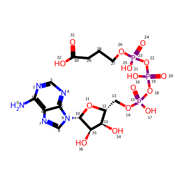 Nc1ncnc2c1ncn2[C@@H]1O[C@H](COP(=O)(O)OP(=O)(O)OP(=O)(O)OCCCC(=O)O)[C@@H](O)[C@H]1O